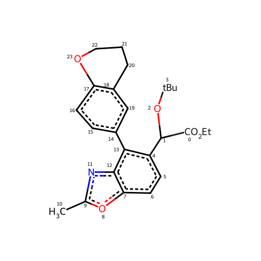 CCOC(=O)C(OC(C)(C)C)c1ccc2oc(C)nc2c1-c1ccc2c(c1)CCCO2